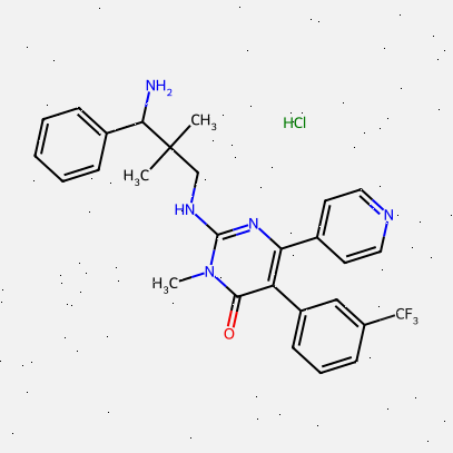 Cl.Cn1c(NCC(C)(C)C(N)c2ccccc2)nc(-c2ccncc2)c(-c2cccc(C(F)(F)F)c2)c1=O